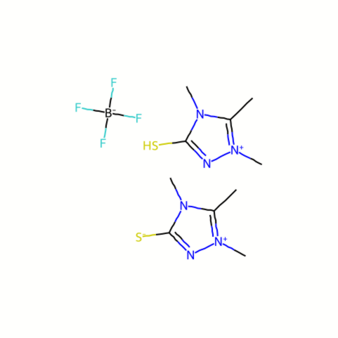 Cc1n(C)c(S)n[n+]1C.Cc1n(C)c([S-])n[n+]1C.F[B-](F)(F)F